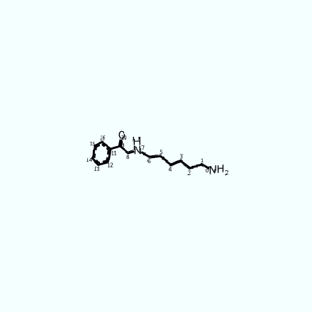 NCCCCCCNCC(=O)c1ccccc1